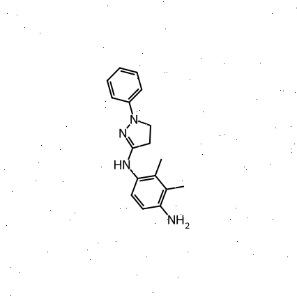 Cc1c(N)ccc(NC2=NN(c3ccccc3)CC2)c1C